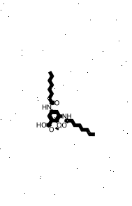 CCCCCCCC(=O)Nc1cc(NC(=O)CCCCCCC)c(OC)c(C(=O)O)c1